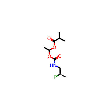 [CH2][C@@H](F)CNC(=O)OC(C)OC(=O)C(C)C